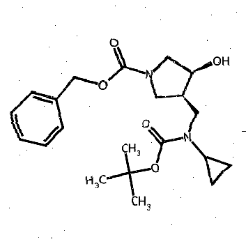 CC(C)(C)OC(=O)N(C[C@H]1CN(C(=O)OCc2ccccc2)C[C@H]1O)C1CC1